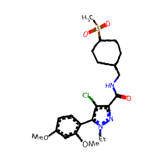 CCn1nc(C(=O)NCC2CCC(S(C)(=O)=O)CC2)c(Cl)c1-c1ccc(OC)cc1OC